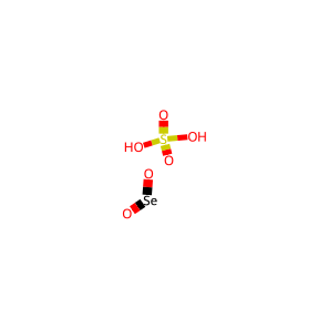 O=S(=O)(O)O.O=[Se]=O